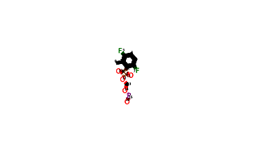 Cc1c(F)ccc(F)c1S(=O)(=O)OCOP=O